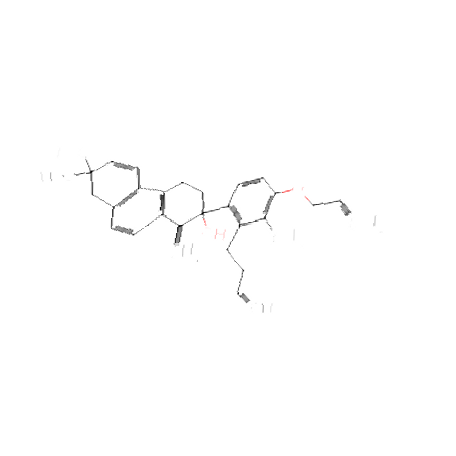 C=CCCc1c(C2(O)CCc3c(ccc4c3C=CC(C)(C)C4)C2=C)ccc(OCC=C)c1C